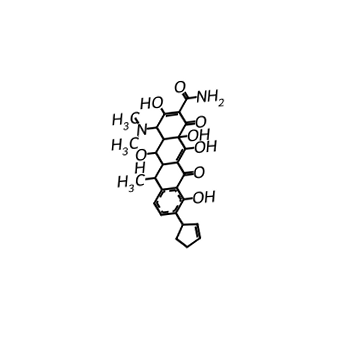 CC1c2ccc(C3C=CCC3)c(O)c2C(=O)C2=C(O)C3(O)C(=O)C(C(N)=O)=C(O)C(N(C)C)C3C(O)C21